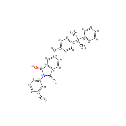 Cc1cccc(N2C(=O)c3ccc(Oc4ccc(C(C)(C)c5ccccc5)cc4)cc3C2=O)c1